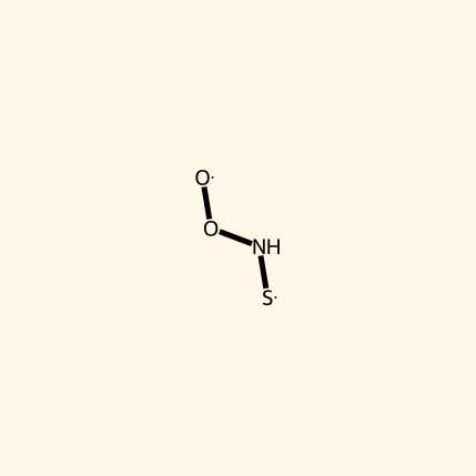 [O]ON[S]